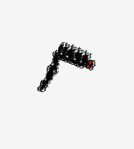 CCn1cc[n+](CC2COC(=O)O2)c1.CCn1cc[n+](CC2COC(=O)O2)c1.CCn1cc[n+](CC2COC(=O)O2)c1.CCn1cc[n+](CC2COC(=O)O2)c1.CCn1cc[n+](CC2COC(=O)O2)c1.CCn1cc[n+](CC2COC(=O)O2)c1.CCn1cc[n+](CC2COC(=O)O2)c1.O=C([O-])C(=O)[O-].O=C([O-])C(=O)[O-].[O-]B([O-])[O-]